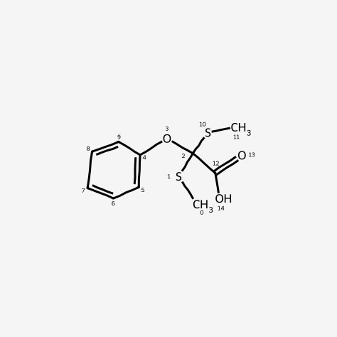 CSC(Oc1ccccc1)(SC)C(=O)O